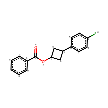 O=C(OC1CC(c2ccc(F)cc2)C1)c1ccccc1